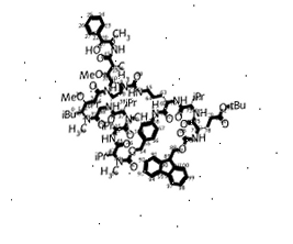 CC[C@H](C)[C@@H]([C@@H](CC(=O)N1CCC[C@H]1[C@H](OC)[C@@H](C)C(=O)N[C@H](C)[C@@H](O)c1ccccc1)OC)N(C)C(=O)[C@@H](NC(=O)[C@H](C(C)C)N(C)C(=O)C(NC(=O)[C@H](C(C)C)N(C)C(=O)OCc1ccc(NC(=O)[C@H](CCCNC(N)=O)NC(=O)[C@@H](NC(=O)[C@H](CCC(=O)OC(C)(C)C)NC(=O)OCC2c3ccccc3-c3ccccc32)C(C)C)cc1)C(C)C)C(C)C